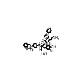 Cl.NCCCC[C@H](NC(=O)[C@@H](Cc1cc(Br)c(O)c(Br)c1)NC(=O)N1CCC(N2Cc3ccccc3NC2=O)CC1)C(=O)N1CCN(c2ccncc2)CC1